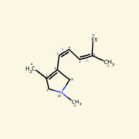 CC/C(C)=C\C=C/C1=C(C)CN(C)C1